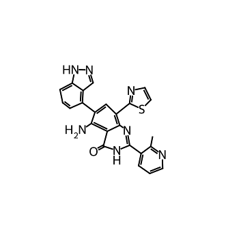 Cc1ncccc1-c1nc2c(-c3nccs3)cc(-c3cccc4[nH]ncc34)c(N)c2c(=O)[nH]1